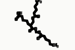 CCCCCC(=O)OCOC(=O)C(CCCCC(=O)O)COC(=O)CCCCC